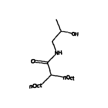 CCCCCCCCC(CCCCCCCC)C(=O)NCC(C)O